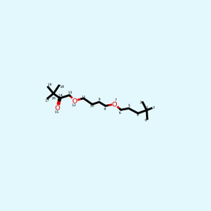 CC(C)(C)CCCOCCCCOCC(=O)C(C)(C)C